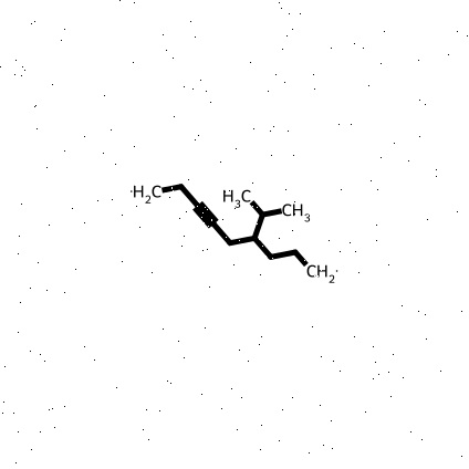 [CH2]CC#CCC(CC[CH2])C(C)C